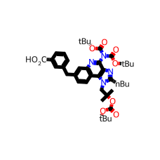 CCCCc1nc2c(N(C(=O)OC(C)(C)C)C(=O)OC(C)(C)C)nc3cc(Cc4cccc(C(=O)O)c4)ccc3c2n1CC(C)(C)OC(=O)OC(C)(C)C